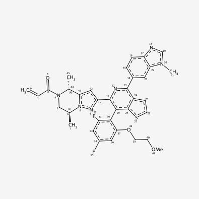 C=CC(=O)N1C[C@H](C)n2nc(-c3nc(-c4ccc5ncn(C)c5c4)c4ccsc4c3-c3c(F)cc(F)cc3OCCOC)cc2[C@H]1C